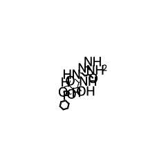 Nc1nc2c(c(=O)[nH]1)NC1C(N2)O[C@@H]2COP(c3ccccc3)O[C@@H]2[C@@H]1O